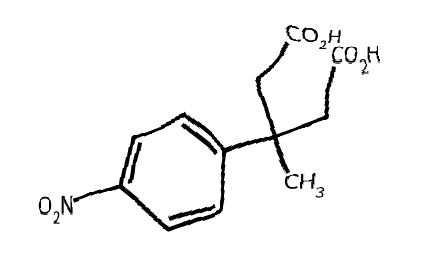 CC(CC(=O)O)(CC(=O)O)c1ccc([N+](=O)[O-])cc1